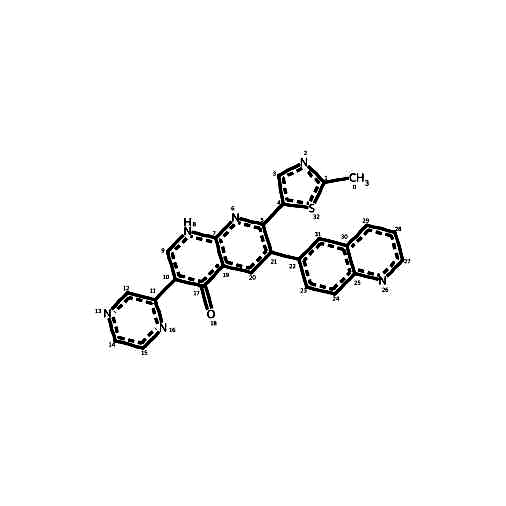 Cc1ncc(-c2nc3[nH]cc(-c4cnccn4)c(=O)c3cc2-c2ccc3ncccc3c2)s1